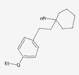 CCCC1(CCc2ccc(OCC)cc2)CCCCC1